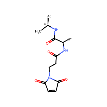 CC(=O)[C@H](C)NC(=O)C(NC(=O)CCN1C(=O)C=CC1=O)C(C)C